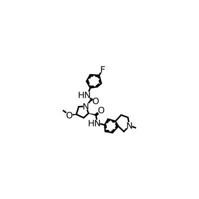 CO[C@@H]1C[C@H](C(=O)Nc2ccc3c(c2)CCN(C)C3)N(C(=O)Nc2ccc(F)cc2)C1